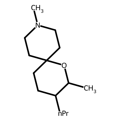 CCCC1CCC2(CCN(C)CC2)OC1C